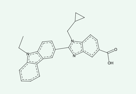 CCn1c2ccccc2c2cc(-c3nc4cc(C(=O)O)ccc4n3CC3CC3)ccc21